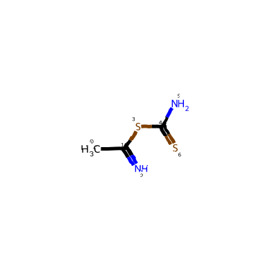 CC(=N)SC(N)=S